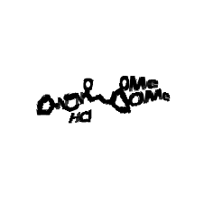 COc1ccc(CCCC(=O)N2CCN(C3CCCC3)CC2)cc1OC.Cl